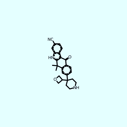 CC1(C)c2cc(C3(C4COC4)CCNCC3)ccc2C(=O)c2c1[nH]c1cc(C#N)ccc21